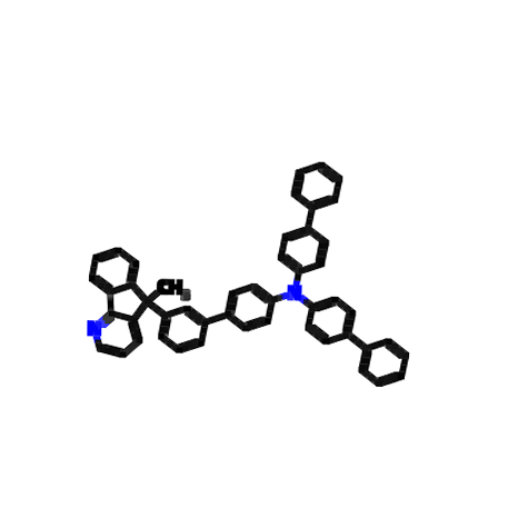 CC1(c2cccc(-c3ccc(N(c4ccc(-c5ccccc5)cc4)c4ccc(-c5ccccc5)cc4)cc3)c2)c2ccccc2-c2ncccc21